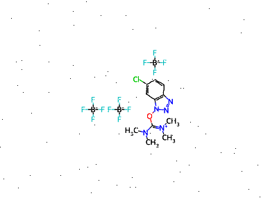 CN(C)C(On1nnc2ccc(Cl)cc21)=[N+](C)C.F[B-](F)(F)F.F[B-](F)(F)F.F[B-](F)(F)F